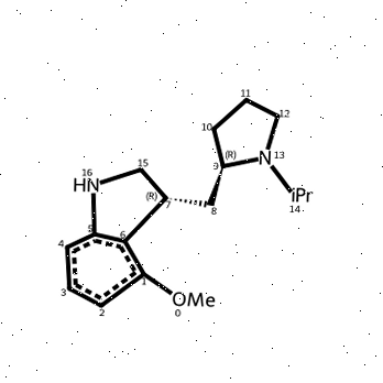 COc1cccc2c1[C@@H](C[C@H]1CCCN1C(C)C)CN2